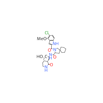 COc1c(Cl)ccc2[nH]c(C(=O)N3CC4(CCCCC4)CC3C(=O)NC(C[C@@H]3CCCNC3=O)C(=O)O)cc12